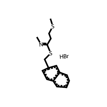 Br.CN=C(CCSC)SCc1ccc2ccccc2c1